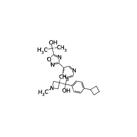 CN1CC(C)(C(O)(c2ccc(C3CCC3)cc2)c2cncc(-c3noc(C(C)(C)O)n3)c2)C1